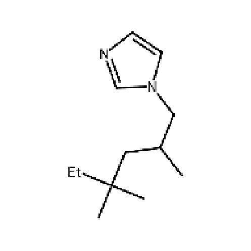 CCC(C)(C)CC(C)Cn1ccnc1